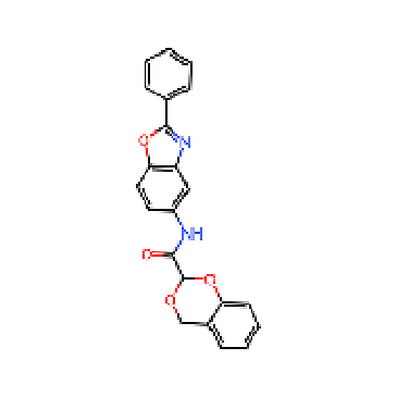 O=C(Nc1ccc2oc(-c3ccccc3)nc2c1)C1OCc2ccccc2O1